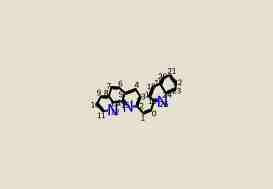 C(=C/c1ccc2ccc3cccnc3c2n1)/c1ccc2ccccc2n1